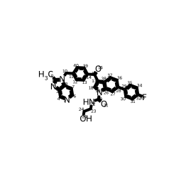 Cc1nc2cnccc2n1Cc1ccc(C(=O)c2cn(C(=O)NCCO)c3cc(-c4ccc(F)cc4)ccc23)cc1